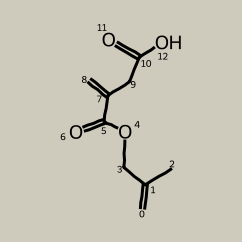 C=C(C)COC(=O)C(=C)CC(=O)O